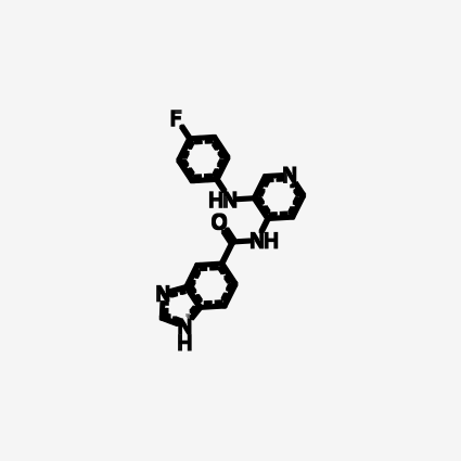 O=C(Nc1ccncc1Nc1ccc(F)cc1)c1ccc2[nH]cnc2c1